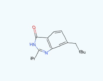 CC(C)c1nc2cc(CC(C)(C)C)ccc2c(=O)[nH]1